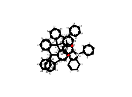 C1=Cc2c(n(-c3ccccc3)c3cc(N(c4ccccc4)c4ccccc4C4(c5ccccc5)c5ccccc5C5(c6ccccc6)c6ccccc6-c6cccc4c65)ccc23)CC1